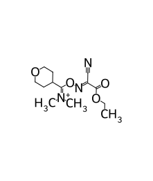 CCOC(=O)/C(C#N)=N/OC(C1CCOCC1)=[N+](C)C